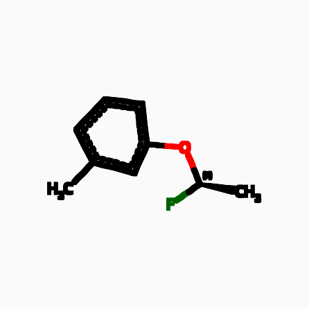 Cc1cccc(O[C@@H](C)F)c1